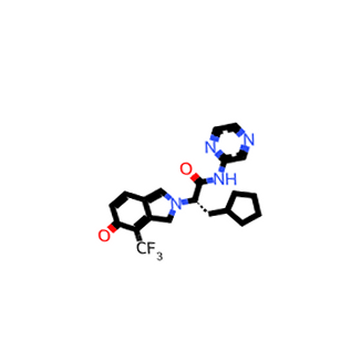 O=C1C=CC2=CN([C@@H](CC3CCCC3)C(=O)Nc3cnccn3)CC2=C1C(F)(F)F